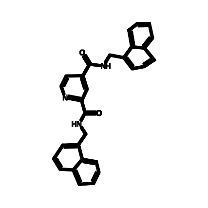 O=C(NCc1cccc2ccccc12)c1ccnc(C(=O)NCc2cccc3ccccc23)c1